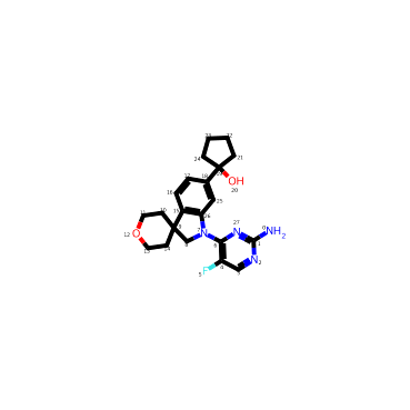 Nc1ncc(F)c(N2CC3(CCOCC3)c3ccc(C4(O)CCCC4)cc32)n1